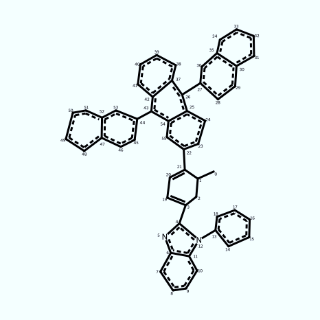 CC1CC(c2nc3ccccc3n2-c2ccccc2)=CC=C1c1ccc2c(-c3ccc4ccccc4c3)c3ccccc3c(-c3ccc4ccccc4c3)c2c1